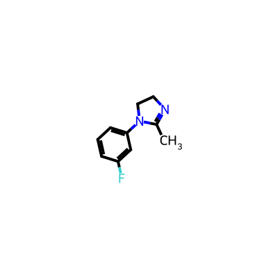 CC1=NCCN1c1cccc(F)c1